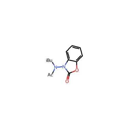 CCC(C)N(C(C)=O)n1c(=O)oc2ccccc21